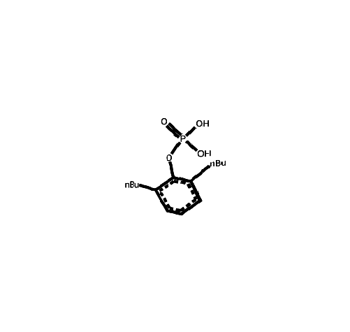 CCCCc1cccc(CCCC)c1OP(=O)(O)O